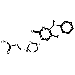 CCCC(=O)OC[C@H]1OC[C@@H](n2cc(F)c(Nc3ccccc3)nc2=O)O1